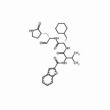 CC(C)C(NC(=O)c1cc2ccccc2s1)C(=O)N[C@@H](CC1CCCCC1)C(=O)N[C@H](C=O)C[C@@H]1CCNC1=O